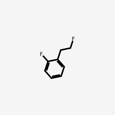 FCCc1ccccc1F